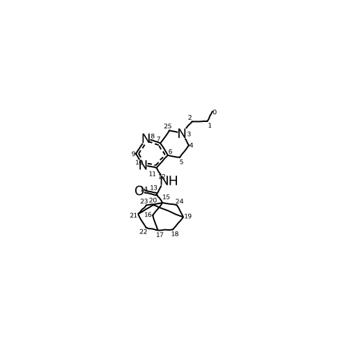 CCCN1CCc2c(ncnc2NC(=O)C23CC4CC(CC(C4)C2)C3)C1